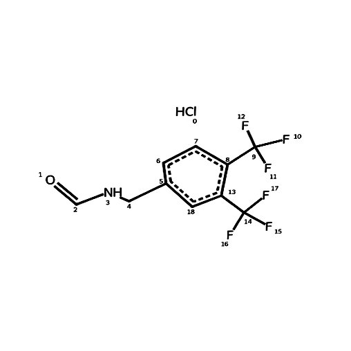 Cl.O=CNCc1ccc(C(F)(F)F)c(C(F)(F)F)c1